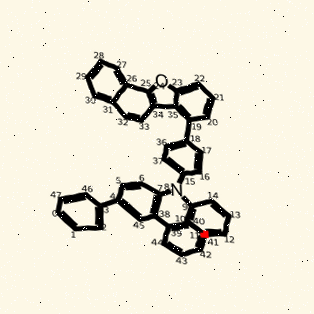 c1ccc(-c2ccc(N(c3ccccc3)c3ccc(-c4cccc5oc6c7ccccc7ccc6c45)cc3)c(-c3ccccc3)c2)cc1